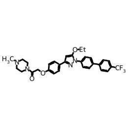 CCOc1cc(-c2ccc(OCC(=O)N3CCN(C)CC3)cc2)nn1-c1ccc(-c2ccc(C(F)(F)F)cc2)cc1